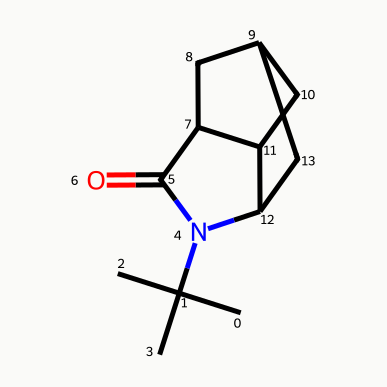 CC(C)(C)N1C(=O)C2CC3CC2C1C3